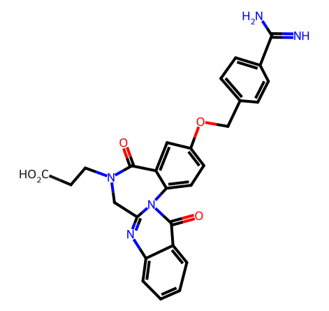 N=C(N)c1ccc(COc2ccc3c(c2)C(=O)N(CCC(=O)O)Cc2nc4ccccc4c(=O)n2-3)cc1